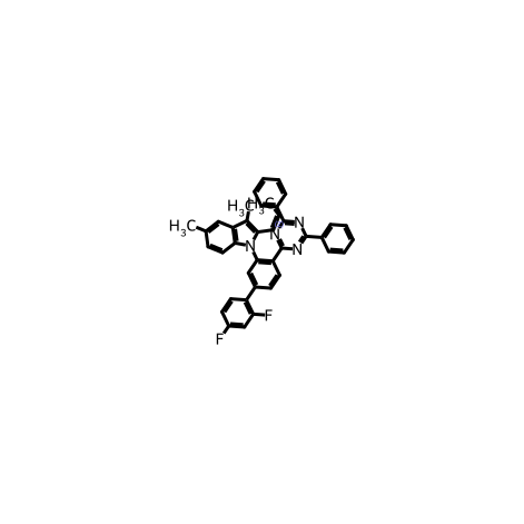 C/C=C\c1c(C)c2cc(C)ccc2n1-c1cc(-c2ccc(F)cc2F)ccc1-c1nc(-c2ccccc2)nc(-c2ccccc2)n1